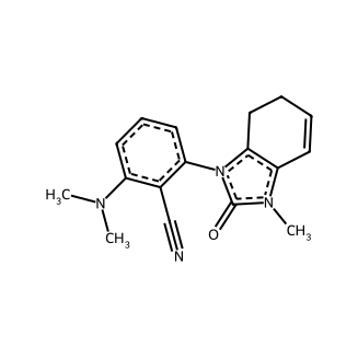 CN(C)c1cccc(-n2c3c(n(C)c2=O)C=CCC3)c1C#N